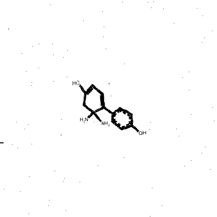 NC1(N)CC(O)=CC=C1c1ccc(O)cc1